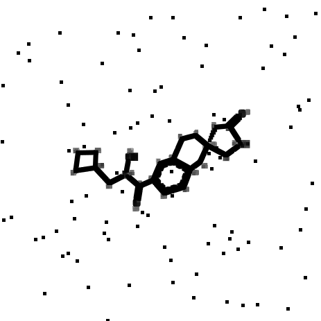 O=C1C[C@]2(CCc3cc(C(=O)N(O)CC4CCC4)ccc3C2)CN1